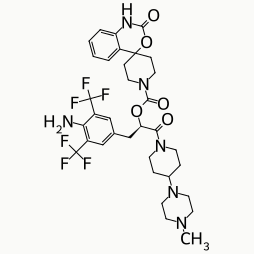 CN1CCN(C2CCN(C(=O)[C@@H](Cc3cc(C(F)(F)F)c(N)c(C(F)(F)F)c3)OC(=O)N3CCC4(CC3)OC(=O)Nc3ccccc34)CC2)CC1